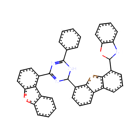 c1ccc(C2=NC(c3cccc4oc5ccccc5c34)=NC(c3cccc4c3sc3c(C5Nc6ccccc6O5)cccc34)N2)cc1